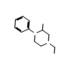 CC1CN(C[C]=O)CCN1c1ccccc1